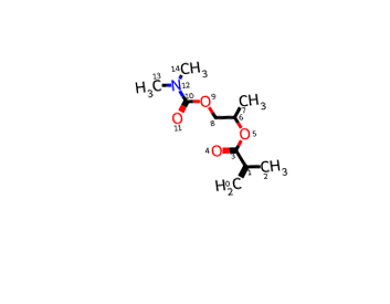 C=C(C)C(=O)OC(C)COC(=O)N(C)C